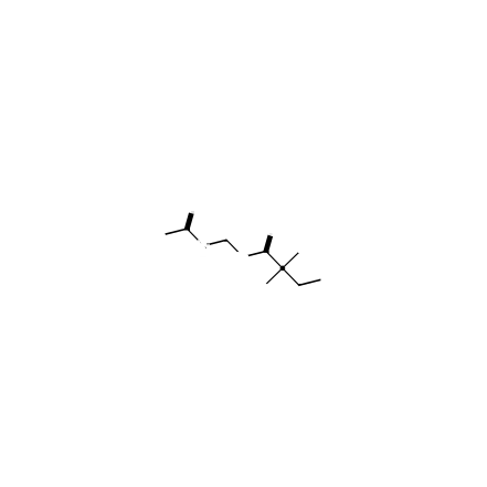 CCC(C)(C)C(=O)SCNC(C)=O